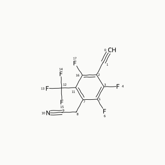 C#Cc1c(F)c(F)c(CC#N)c(C(F)(F)F)c1F